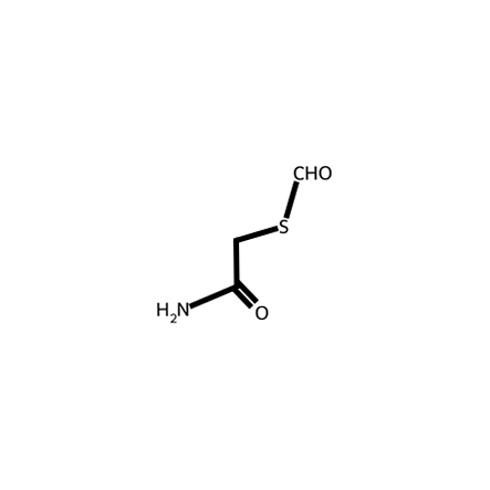 NC(=O)CSC=O